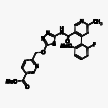 COC(=O)c1ccc(COc2nnc(NC(=O)c3cnc(C)cc3-c3c(F)cccc3OC)s2)nc1